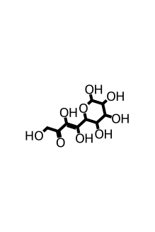 O=C(CO)/C(O)=C(\O)C1OC(O)C(O)C(O)C1O